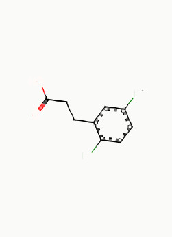 O=C(O)CCc1cc(F)ccc1Br